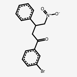 O=C(CC(C[N+](=O)[O-])c1ccccc1)c1cccc(Br)c1